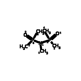 CN(P(C)(C)=O)P(C)(C)=O